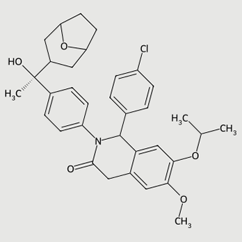 COc1cc2c(cc1OC(C)C)C(c1ccc(Cl)cc1)N(c1ccc([C@@](C)(O)C3CC4CCC(C3)O4)cc1)C(=O)C2